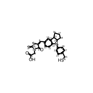 O=C(O)CN1C(=O)/C(=C\c2ccc3c(c2)C2CCCC2N3c2ccc(CS)cc2)SC1=S